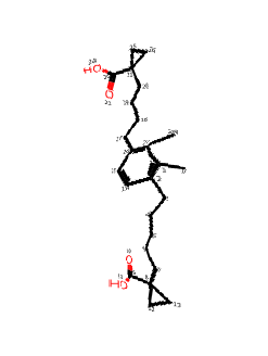 Cc1c(CCCCCC2(C(=O)O)CC2)ccc(CCCCC2(C(=O)O)CC2)c1C